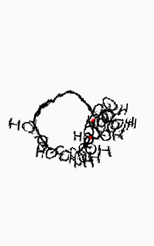 C[C@@H]1[C@H](O)[C@@H](C)/C=C/C=C/C=C/C=C/C=C/C=C/C=C/[C@H](OC2O[C@H](C)[C@@H](O)[C@H](C)[C@@H]2O)C[C@H]2O[C@](O)(C[C@@H](O)C[C@@H](O)[C@H](O)CC[C@@H](O)C[C@@H](O)CC(=O)O[C@H]1C)C[C@H](O)[C@H]2C(=O)O